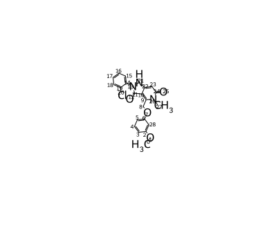 COc1cccc(OCc2c3c(=O)n(-c4ccccc4Cl)[nH]c3cc(=O)n2C)c1